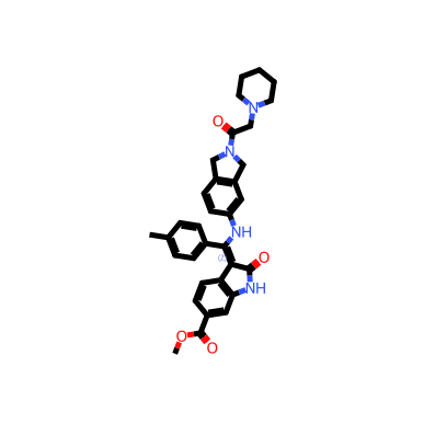 COC(=O)c1ccc2c(c1)NC(=O)/C2=C(\Nc1ccc2c(c1)CN(C(=O)CN1CCCCC1)C2)c1ccc(C)cc1